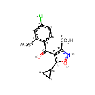 CSc1cc(Cl)ccc1C(=O)c1c(C(=O)O)noc1C1CC1